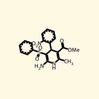 COC(=O)C1=C(C)NC(N)=C(S(=O)(=O)c2ccccc2)C1c1ccccc1[N+](=O)[O-]